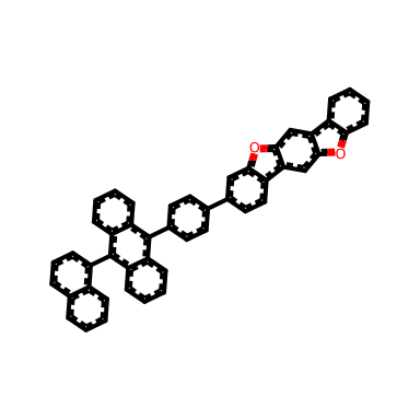 c1ccc2c(-c3c4ccccc4c(-c4ccc(-c5ccc6c(c5)oc5cc7c(cc56)oc5ccccc57)cc4)c4ccccc34)cccc2c1